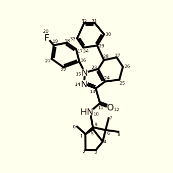 CC12CCC(C1)C(C)(C)C2NC(=O)c1nn(-c2ccc(F)cc2)c2c1CCCC2c1ccccc1